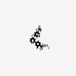 Cc1cc(-c2cc(Oc3cncc(OC(F)F)c3)ccn2)ccc1C(N)=O